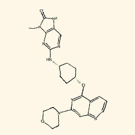 Cn1c(=O)[nH]c2cnc(N[C@H]3CC[C@@H](Oc4nc(N5CCOCC5)cc5ncccc45)CC3)nc21